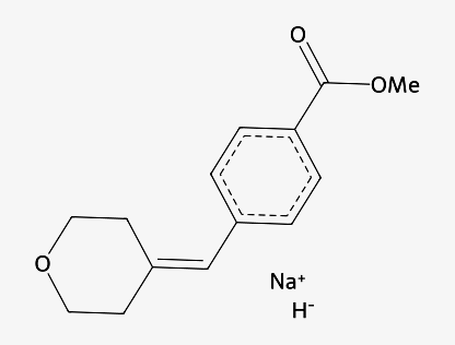 COC(=O)c1ccc(C=C2CCOCC2)cc1.[H-].[Na+]